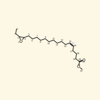 CCC1OC1CCCCCCCCCC/C=C\CCCC(=O)OC